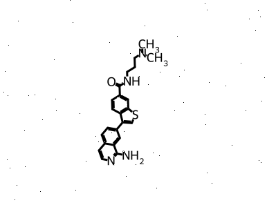 CN(C)CCCNC(=O)c1ccc2c(-c3ccc4ccnc(N)c4c3)csc2c1